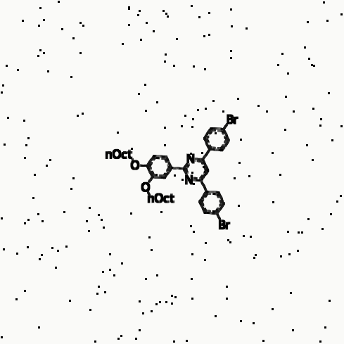 CCCCCCCCOc1ccc(-c2nc(-c3ccc(Br)cc3)cc(-c3ccc(Br)cc3)n2)cc1OCCCCCCCC